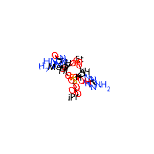 CCO[P@@]1(=O)OC[C@@]23C[C@@H]2[C@@H](n2cnc4c(N)ncnc42)[C@H](O)[C@@H]3O[P@](=O)(SCOC(=O)OC(C)C)OC[C@H]2O[C@@H](n3cnc4c(=O)[nH]c(N)nc43)[C@H](O1)[C@@H]2OC